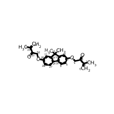 C=C(C)C(=O)COc1ccc2c(c1)C(C)(C)c1cc(OCC(=O)C(=C)C)ccc1-2